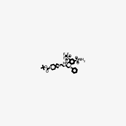 CC(C)(C)OC(=O)N1CCC2(CC1)CN(CC[C@H](CSc1ccccc1)Nc1ccc(S(N)(=O)=O)cc1S(=O)(=O)C(F)(F)F)C2